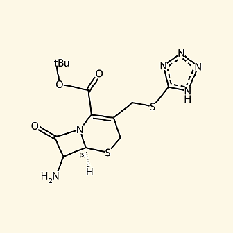 CC(C)(C)OC(=O)C1=C(CSc2nnn[nH]2)CS[C@H]2C(N)C(=O)N12